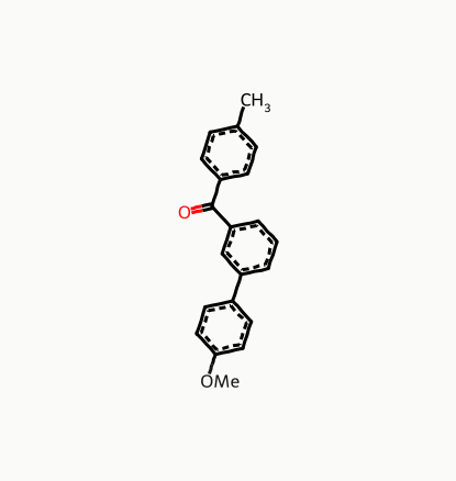 COc1ccc(-c2cccc(C(=O)c3ccc(C)cc3)c2)cc1